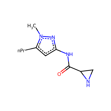 CCCc1cc(NC(=O)C2CN2)nn1C